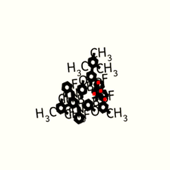 Cc1cc(C)c(-c2cc3c4c(c2)Oc2c(sc5ccc(F)cc25)B4c2cc4c(cc2O3)N(c2c(F)cccc2F)c2cc(-c3c(C)cc(C)cc3C)cc3c2B4c2cc4c(cc2N3c2c(F)cccc2F)Oc2cc(C)cc3c2B4c2sc4ccc(F)cc4c2O3)c(C)c1